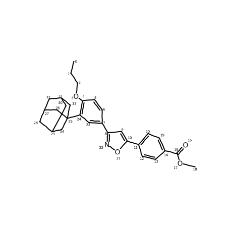 CCCOc1ccc(-c2cc(-c3ccc(C(=O)OC)cc3)on2)cc1C12CC3CC(CC(C3)C1)C2